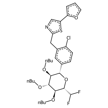 CCCCO[C@@H]1[C@@H](OCCCC)[C@H](c2ccc(Cl)c(Cc3ncc(-c4ccco4)s3)c2)O[C@H](C(F)F)[C@H]1OCCCC